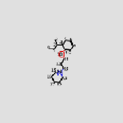 CCC(C)C1CC=CC=C1OCCCN1CCCCC1